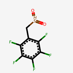 O=[SH](=O)Cc1c(F)c(F)c(F)c(F)c1F